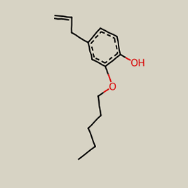 C=CCc1ccc(O)c(OCCCCC)c1